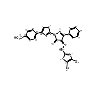 CCc1nc(N/N=C2\C(=O)N(c3nc(-c4ccc(C(=O)O)cc4)cs3)N=C2c2ccccc2)sc1CC